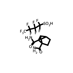 NC(=O)C1=CC2CCC1(C(N)=O)C2.O=S(=O)(O)C(F)(F)C(F)(F)C(F)(F)C(F)(F)F